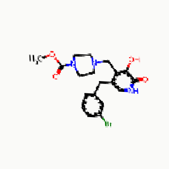 COC(=O)N1CCN(Cc2c(Cc3cccc(Br)c3)c[nH]c(=O)c2O)CC1